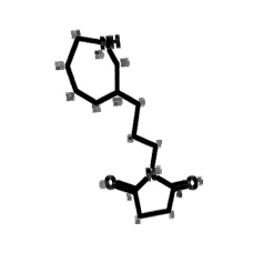 O=C1CCC(=O)N1CCCC1CCCCNC1